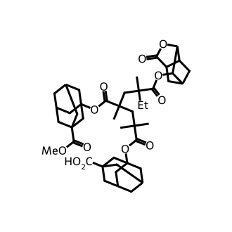 CCC(C)(CC(C)(CC(C)(C)C(=O)OC12CC3CC(C1)CC(C(=O)O)(C3)C2)C(=O)OC12CC3CC(C1)CC(C(=O)OC)(C3)C2)C(=O)OC1C2CC3C(=O)OC1C3C2